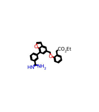 CCOC(=O)Cc1ccccc1OCc1cc(-c2cccc(C(=N)N)c2)c2occc2c1